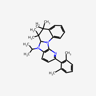 Cc1cccc(C)c1-c1ccc2c(n1)N1c3ccccc3C(C)(C)C(C)(C)C1N2C(C)C